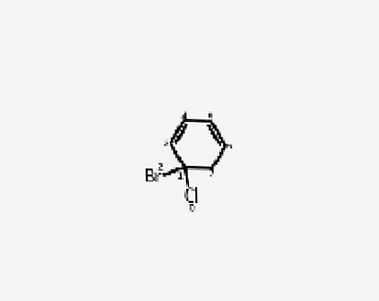 ClC1(Br)C=CC=CC1